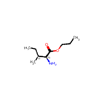 CCCOC(=O)[C@@H](N)[C@@H](C)CC